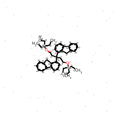 CC[Si](CC)(CC)OCCC(CCO[Si](CC)(CC)CC)(c1cccc2c1Cc1ccccc1-2)c1cccc2c1Cc1ccccc1-2